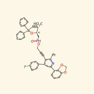 CC(C)c1nc(-c2cccc3c2OCO3)cc(-c2ccc(F)cc2)c1C#CCO[PH](=O)C[C@H](CC(=O)O)O[Si](c1ccccc1)(c1ccccc1)C(C)(C)C